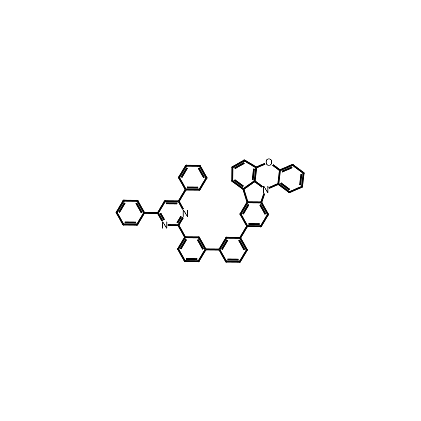 c1ccc(-c2cc(-c3ccccc3)nc(-c3cccc(-c4cccc(-c5ccc6c(c5)c5cccc7c5n6-c5ccccc5O7)c4)c3)n2)cc1